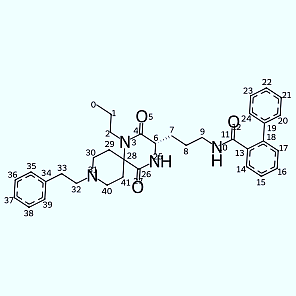 CCCN1C(=O)[C@H](CCCNC(=O)c2ccccc2-c2ccccc2)NC(=O)C12CCN(CCc1ccccc1)CC2